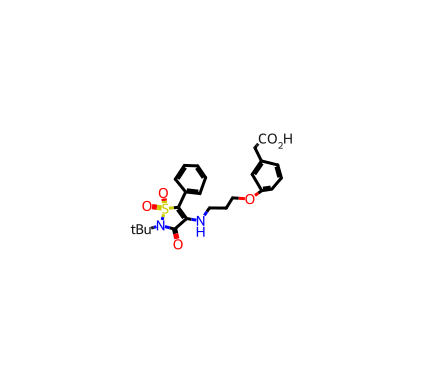 CC(C)(C)N1C(=O)C(NCCCOc2cccc(CC(=O)O)c2)=C(c2ccccc2)S1(=O)=O